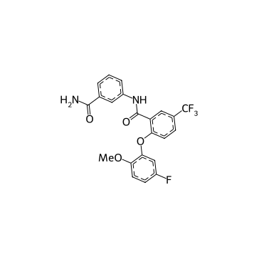 COc1ccc(F)cc1Oc1ccc(C(F)(F)F)cc1C(=O)Nc1cccc(C(N)=O)c1